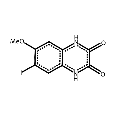 COc1cc2[nH]c(=O)c(=O)[nH]c2cc1I